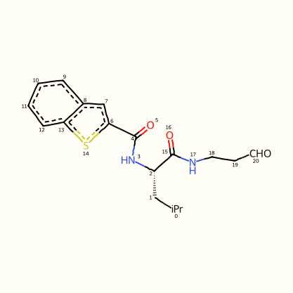 CC(C)C[C@H](NC(=O)c1cc2ccccc2s1)C(=O)NCCC=O